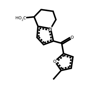 Cc1ccc(C(=O)c2ccc3n2CCCC3C(=O)O)o1